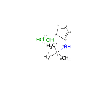 CC(C)(C)NC1=CC=CC1.Cl.Cl